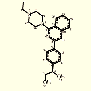 CCN1CCN(c2nc(-c3ccc(C(O)CO)cc3)cc3ccccc23)CC1